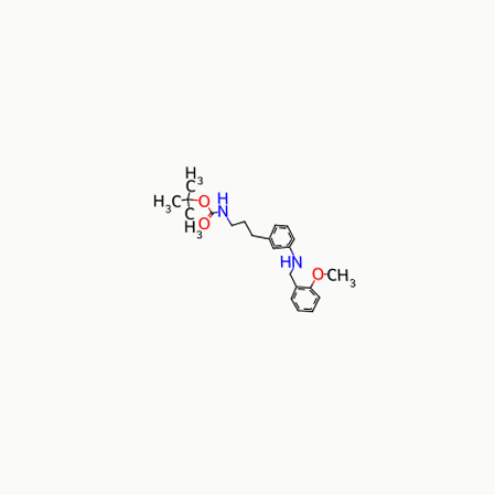 COc1ccccc1CNc1cccc(CCCNC(=O)OC(C)(C)C)c1